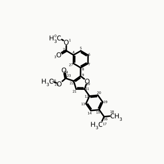 COC(=O)c1cccc(-c2oc(-c3ccc(C(C)C)cc3)cc2C(=O)OC)c1